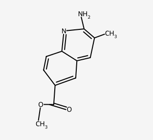 COC(=O)c1ccc2nc(N)c(C)cc2c1